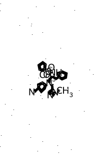 Cc1ccccc1S(=O)(=O)NC(Cc1ccccc1)CN(Cc1cncn1C)c1ccc(C#N)cc1